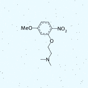 COc1ccc([N+](=O)[O-])c(OCCN(C)C)c1